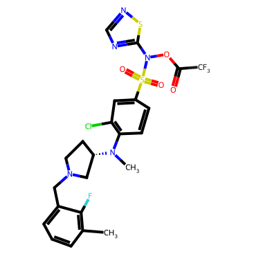 Cc1cccc(CN2CC[C@H](N(C)c3ccc(S(=O)(=O)N(OC(=O)C(F)(F)F)c4ncns4)cc3Cl)C2)c1F